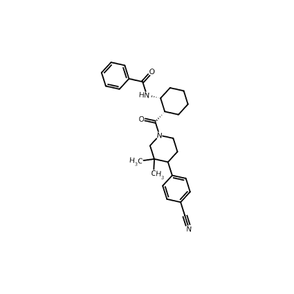 CC1(C)CN(C(=O)[C@H]2CCCC[C@H]2NC(=O)c2ccccc2)CCC1c1ccc(C#N)cc1